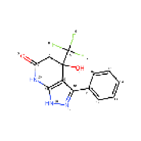 O=C1CC(O)(C(F)(F)F)c2c(-c3ccccc3)n[nH]c2N1